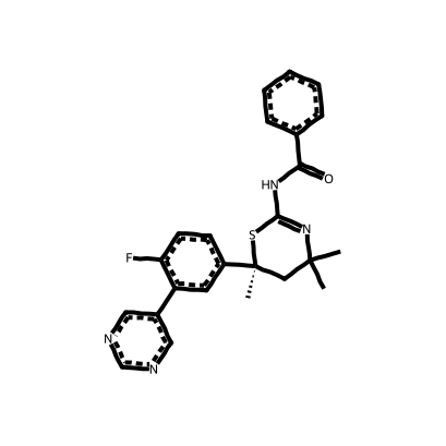 CC1(C)C[C@@](C)(c2ccc(F)c(-c3cncnc3)c2)SC(NC(=O)c2ccccc2)=N1